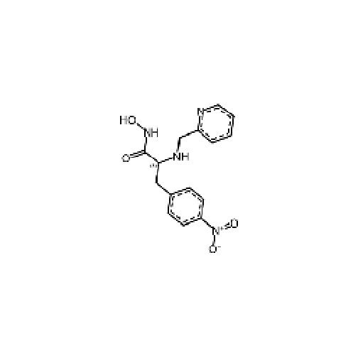 O=C(NO)[C@H](Cc1ccc([N+](=O)[O-])cc1)NCc1ccccn1